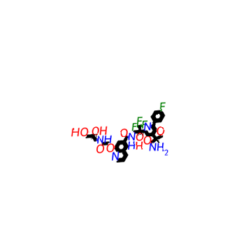 C[C@]1(C(N)=O)COc2c1cc([C@@](O)(CNC(=O)c1cc(OCC(=O)NC[C@@H](O)CO)c3ncccc3c1)C(F)(F)F)nc2-c1ccc(F)cc1